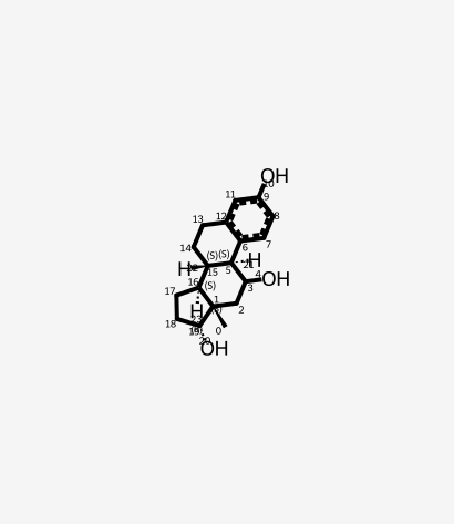 C[C@]12CC(O)[C@@H]3c4ccc(O)cc4CC[C@H]3[C@@H]1CC[C@H]2O